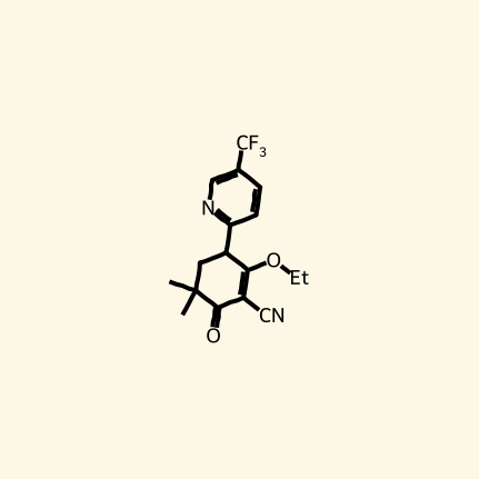 CCOC1=C(C#N)C(=O)C(C)(C)CC1c1ccc(C(F)(F)F)cn1